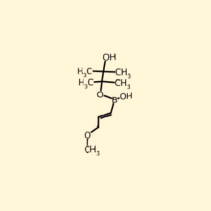 COCC=CB(O)OC(C)(C)C(C)(C)O